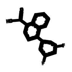 O=C(O)c1ccc(-c2cc(F)cc(F)c2)c2ccccc12